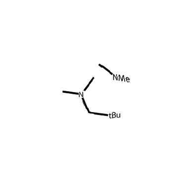 CN(C)CC(C)(C)C.CNC